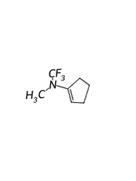 CN(C1=CCCC1)C(F)(F)F